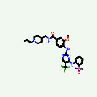 CC=CN1CCC(CNC(=O)c2ccc(Nc3ncc(C(F)(F)F)c(Nc4ccccc4P(C)(C)=O)n3)c(OC)c2)CC1